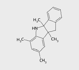 Cc1cc(C)c2c(c1)C1(C)Cc3ccccc3C1(C)N2